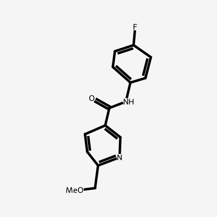 COCc1ccc(C(=O)Nc2ccc(F)cc2)cn1